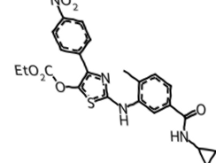 CCOC(=O)Oc1sc(Nc2cc(C(=O)NC3CC3)ccc2C)nc1-c1ccc([N+](=O)[O-])cc1